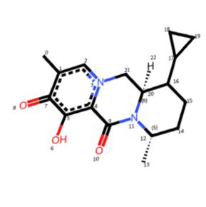 Cc1cn2c(c(O)c1=O)C(=O)N1[C@@H](C)CCC(C3CC3)[C@@H]1C2